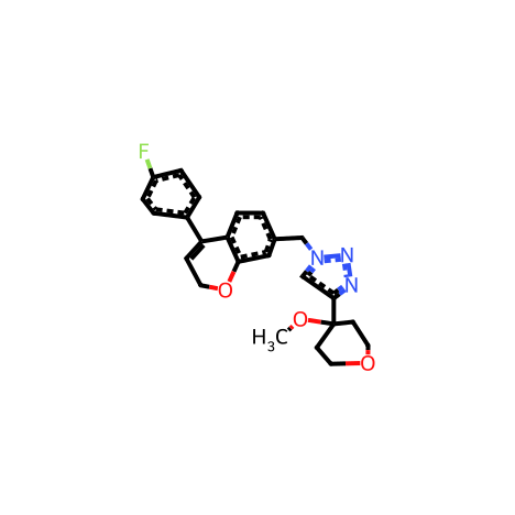 COC1(c2cn(Cc3ccc4c(c3)OCC=C4c3ccc(F)cc3)nn2)CCOCC1